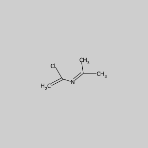 C=C(Cl)N=C(C)C